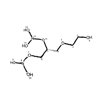 OCCOC[C@H](CON(O)O)ON(O)O